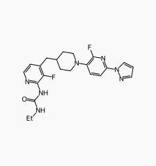 CCNC(=O)Nc1nccc(CC2CCN(c3ccc(-n4cccn4)nc3F)CC2)c1F